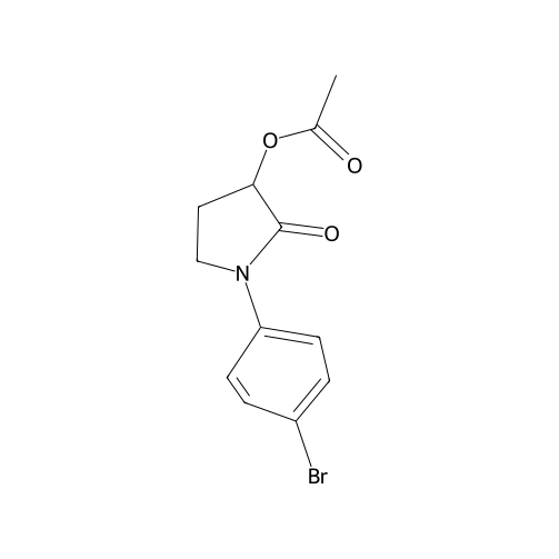 CC(=O)OC1CCN(c2ccc(Br)cc2)C1=O